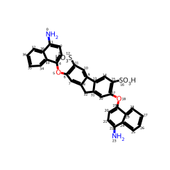 Nc1ccc(Oc2cc3c(cc2S(=O)(=O)O)-c2cc(S(=O)(=O)O)c(Oc4ccc(N)c5ccccc45)cc2C3)c2ccccc12